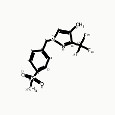 Cc1cn(Cc2ccc(S(C)(=O)=O)cc2)nc1C(F)(F)F